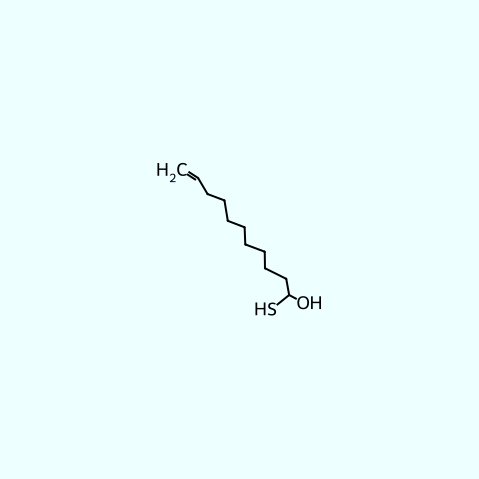 C=CCCCCCCCCC(O)S